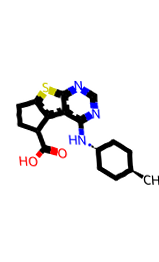 C[C@H]1CC[C@H](Nc2ncnc3sc4c(c23)C(C(=O)O)CC4)CC1